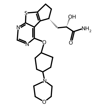 NC(=O)[C@@H](O)C[C@H]1CCc2sc3ncnc(OC4CCC(N5CCOCC5)CC4)c3c21